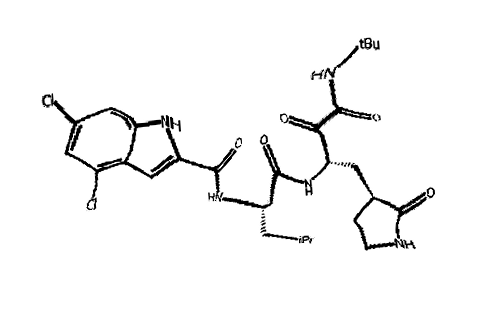 CC(C)C[C@H](NC(=O)c1cc2c(Cl)cc(Cl)cc2[nH]1)C(=O)N[C@@H](C[C@@H]1CCNC1=O)C(=O)C(=O)NC(C)(C)C